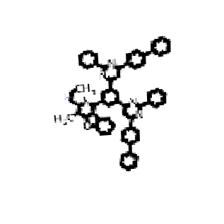 C/C=C\c1nc(-c2cc(-c3cc(-c4ccc(-c5ccccc5)cc4)nc(-c4ccccc4)n3)cc(-c3cc(-c4ccc(-c5ccccc5)cc4)nc(-c4ccccc4)n3)c2)c2c(oc3ccccc32)c1C